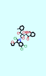 Cc1ccccc1C(=O)C(O)[C@H]1O[C@@H](n2c(Cl)c(-c3ccco3)c3cc(Cl)c(Cl)cc32)C[C@@]1(O)C(=O)c1ccccc1C